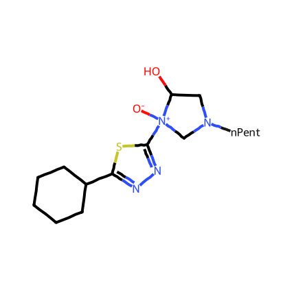 CCCCCN1CC(O)[N+]([O-])(c2nnc(C3CCCCC3)s2)C1